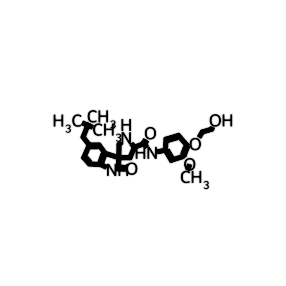 COc1cc(NC(=O)C2CC3(CN2)C(=O)Nc2ccc(CC(C)(C)C)cc23)ccc1OCCO